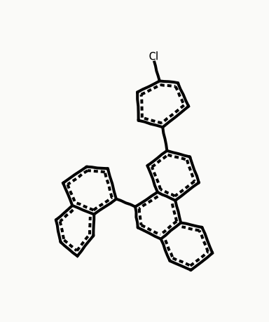 Clc1ccc(-c2ccc3c(c2)c(-c2cccc4ccccc24)cc2ccccc23)cc1